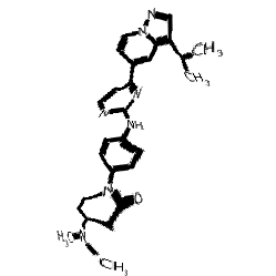 CC(C)c1cnn2ccc(-c3ccnc(Nc4ccc(N5CCC(N(C)C)CC5=O)cc4)n3)cc12